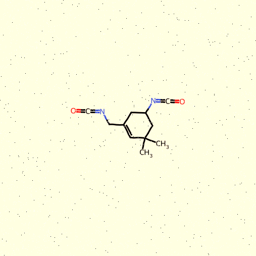 CC1(C)C=C(CN=C=O)CC(N=C=O)C1